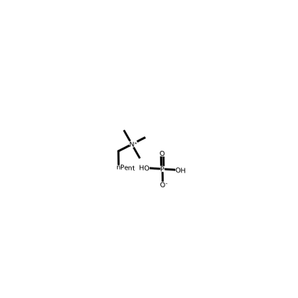 CCCCCC[N+](C)(C)C.O=P([O-])(O)O